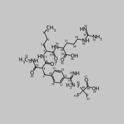 CCCC[C@H](NC(=O)[C@@H](Cc1ccc(C(=N)N)cc1)C(=O)NC)C(=O)NC(CCCNC(=N)N)C(=O)O.O=C(O)C(F)(F)F